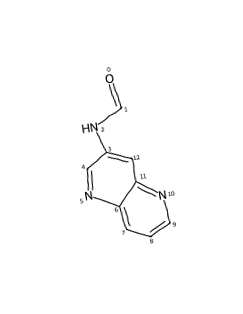 O=CNc1cnc2cccnc2c1